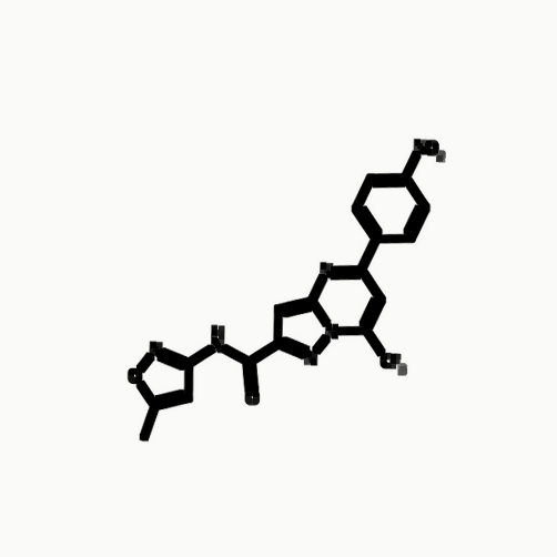 Cc1cc(NC(=O)c2cc3nc(-c4ccc([N+](=O)[O-])cc4)cc(C(F)(F)F)n3n2)no1